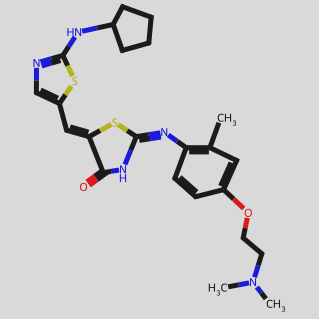 Cc1cc(OCCN(C)C)ccc1N=C1NC(=O)C(=Cc2cnc(NC3CCCC3)s2)S1